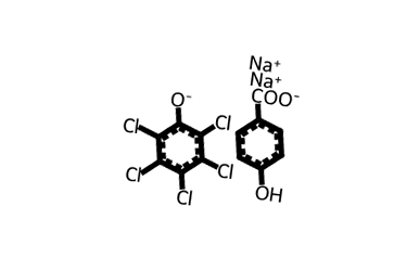 O=C([O-])c1ccc(O)cc1.[Na+].[Na+].[O-]c1c(Cl)c(Cl)c(Cl)c(Cl)c1Cl